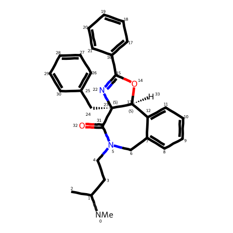 CNC(C)CCN1Cc2ccccc2[C@@H]2OC(c3ccccc3)=N[C@]2(Cc2ccccc2)C1=O